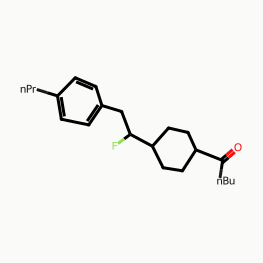 CCCCC(=O)C1CCC(C(F)Cc2ccc(CCC)cc2)CC1